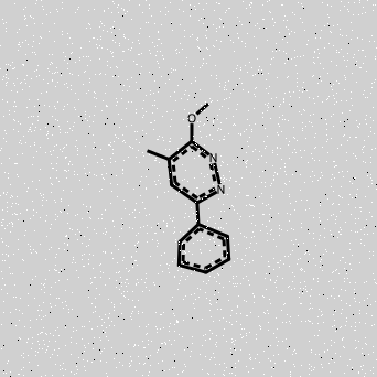 COc1nnc(-c2ccccc2)cc1C